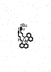 CN(c1cccc2cccc(CCC=CC#CC(C)(C)C)c12)c1cccc2cccc(CCC=CC#CC(C)(C)C)c12